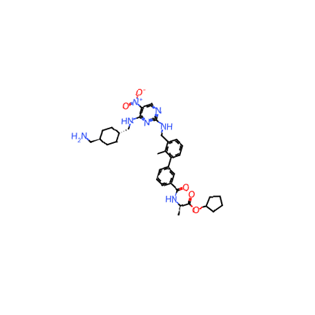 Cc1c(CNc2ncc([N+](=O)[O-])c(NC[C@H]3CC[C@H](CN)CC3)n2)cccc1-c1cccc(C(=O)N[C@H](C)C(=O)OC2CCCC2)c1